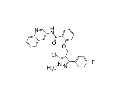 Cn1nc(-c2ccc(F)cc2)c(COc2ccccc2C(=O)Nc2cnc3ccccc3c2)c1Cl